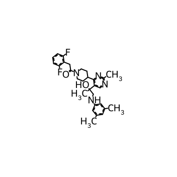 Cc1cc(C)cc(NCC(C)(O)c2cnc(C)nc2C2CCN(C(=O)Cc3c(F)cccc3F)CC2)c1